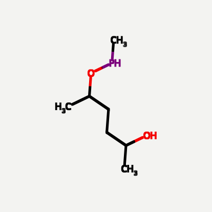 CPOC(C)CCC(C)O